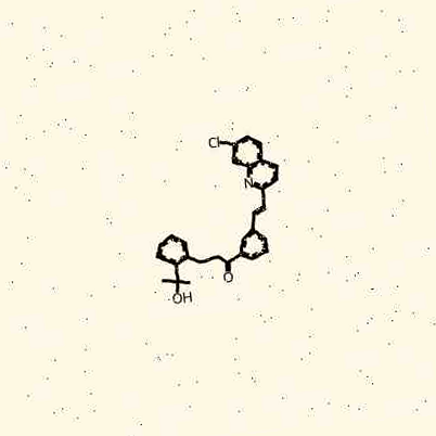 CC(C)(O)c1ccccc1CCC(=O)c1cccc(C=Cc2ccc3ccc(Cl)cc3n2)c1